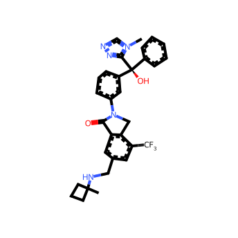 Cn1cnnc1[C@](O)(c1ccccc1)c1cccc(N2Cc3c(cc(CNC4(C)CCC4)cc3C(F)(F)F)C2=O)c1